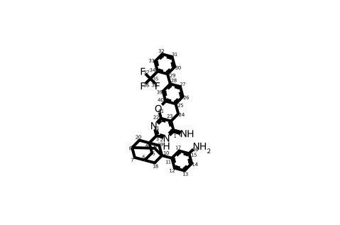 N=c1[nH]c(C23CC4CC(CC(c5cccc(N)c5)(C4)C2)C3)nc2c1Cc1ccc(-c3ccccc3C(F)(F)F)cc1O2